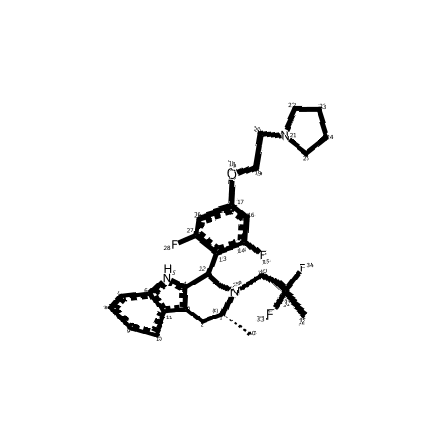 C[C@@H]1Cc2c([nH]c3ccccc23)C(c2c(F)cc(OCCN3CCCC3)cc2F)N1CC(C)(F)F